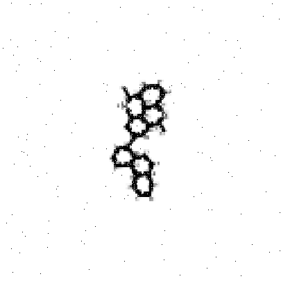 Cc1nc2cc(-c3cccc4c3ccc3ccccc34)cc3c(C)nc4cccc1c4c23